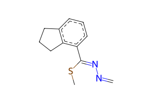 C=N/N=C(\SC)c1cccc2c1CCC2